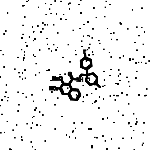 COc1c(C#N)cc2ccccc2c1C(=O)NCC1(c2ccc(F)cc2)CCN(C)CC1